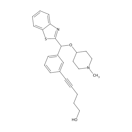 CN1CCC(OC(c2cccc(C#CCCCO)c2)c2nc3ccccc3s2)CC1